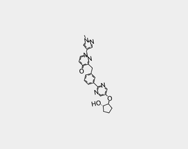 Cn1cc(-n2ccc(=O)c(Cc3cccc(-c4ncc(O[C@H]5CCC[C@@H]5O)cn4)c3)n2)cn1